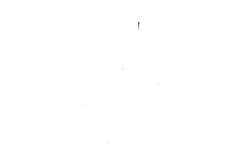 CCCCOC1([C@H]2OC[C@H](C)CO2)C=C(F)C(c2cc(F)cc(F)c2)=C(F)C1